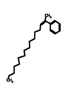 CCCCCCCCCCCCC/C=C(/C)c1ccccc1